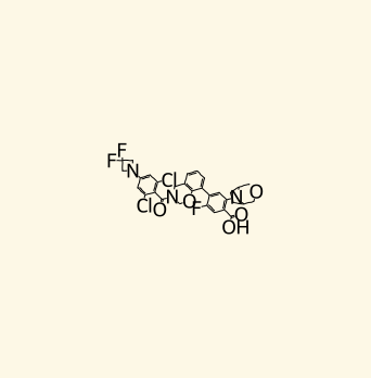 O=C(O)c1cc(F)c(-c2cccc3c2OCN(C(=O)c2c(Cl)cc(N4CC(F)(F)C4)cc2Cl)C3)cc1N1C2CCC1COC2